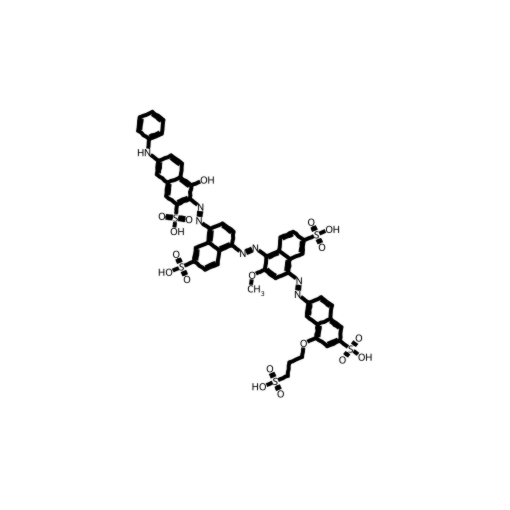 COc1cc(N=Nc2ccc3cc(S(=O)(=O)O)cc(OCCCS(=O)(=O)O)c3c2)c2cc(S(=O)(=O)O)ccc2c1N=Nc1ccc(N=Nc2c(S(=O)(=O)O)cc3cc(Nc4ccccc4)ccc3c2O)c2cc(S(=O)(=O)O)ccc12